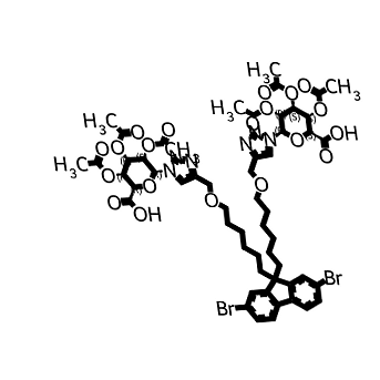 CC(=O)O[C@@H]1[C@@H](OC(C)=O)[C@H](n2cc(COCCCCCCC3(CCCCCCOCc4cn([C@@H]5O[C@@H](C(=O)O)[C@H](OC(C)=O)[C@@H](OC(C)=O)[C@@H]5OC(C)=O)nn4)c4cc(Br)ccc4-c4ccc(Br)cc43)nn2)O[C@H](C(=O)O)[C@H]1OC(C)=O